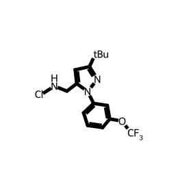 CC(C)(C)c1cc(CNCl)n(-c2cccc(OC(F)(F)F)c2)n1